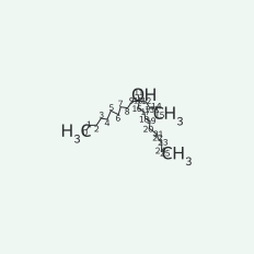 CCCCCCCCCCC(O)(CCCC)CCCCCCCCCC